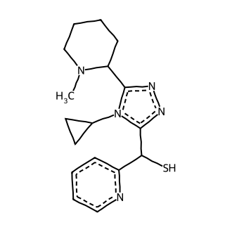 CN1CCCCC1c1nnc(C(S)c2ccccn2)n1C1CC1